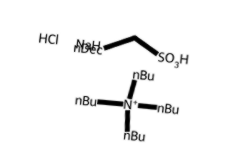 CCCCCCCCCCCS(=O)(=O)O.CCCC[N+](CCCC)(CCCC)CCCC.Cl.[NaH]